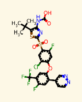 CC(C)(C)c1sc(S(=O)(=O)c2cc(Cl)c(Oc3cc(C(F)(F)F)c(F)cc3-c3ccnnc3)cc2F)nc1NC(=O)O